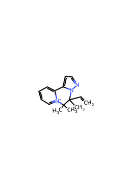 C=CC1(C)n2nccc2-c2cccc[n+]2C1(C)C